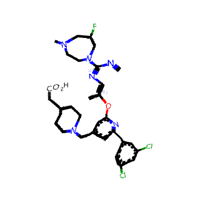 C=N/C(=N\C=C(/C)Oc1cc(CN2CCC(CC(=O)O)CC2)cc(-c2cc(Cl)cc(Cl)c2)n1)N1CCN(C)CC(F)C1